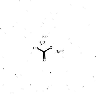 O.O=C([O-])O.[I-].[Na+].[Na+]